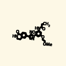 C=CC(=O)Nc1cc(OCCOC)cc(-n2ncc(-c3ccc4c(c3)CCNC4=O)c2[N+](=O)[O-])c1